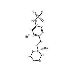 CCCC[N+]1(CCc2ccc(NS(C)(=O)=O)cc2)CCCCC1.[Br-]